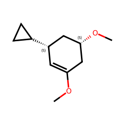 COC1=C[C@H](C2CC2)C[C@H](OC)C1